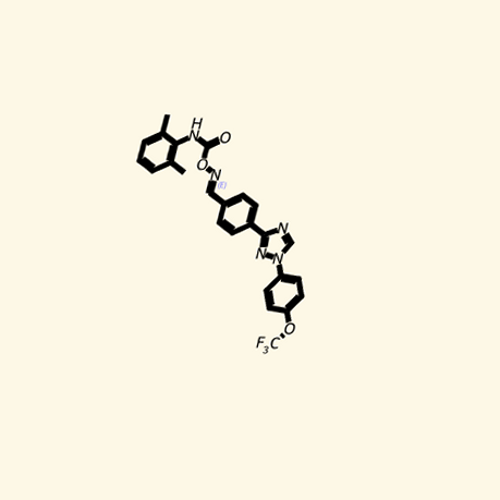 Cc1cccc(C)c1NC(=O)O/N=C/c1ccc(-c2ncn(-c3ccc(OC(F)(F)F)cc3)n2)cc1